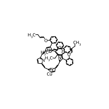 CCC=COc1ccccc1C1=CC2=CC3=NC(=CC4=NC(=CC5=NC(=C(c6ccccc6OC=CCC)C1=N2)C(c1ccccc1OC=CCC)=C5c1ccccc1OC=CCC)C=C4)C=C3.[Cu]